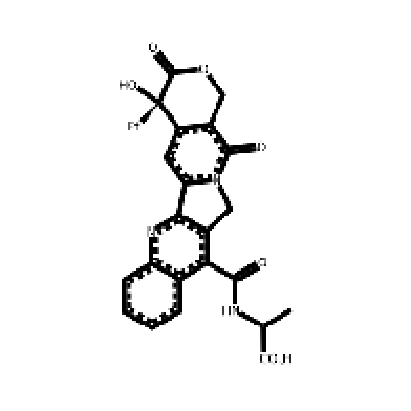 CC[C@@]1(O)C(=O)OCc2c1cc1n(c2=O)Cc2c-1nc1ccccc1c2C(=O)NC(C)C(=O)O